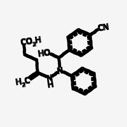 C=C(CCC(=O)O)NN(c1ccccc1)C(O)c1ccc(C#N)cc1